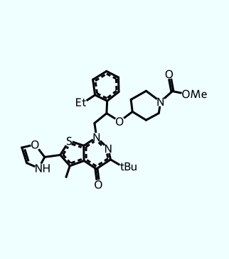 CCc1ccccc1C(Cn1nc(C(C)(C)C)c(=O)c2c(C)c(C3NC=CO3)sc21)OC1CCN(C(=O)OC)CC1